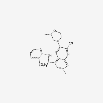 Cc1cc([C@@H](C)Nc2ccccc2C(=O)O)c2nc(N3CCOC(C)C3)c(C#N)nc2c1